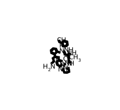 CCc1cccc(N/C(=C\C(=N)C(C)(C)C#N)NCc2ccccc2C(CCCN)Cc2ccc(=N)n(C(=N)N3CCCCC3)c2)c1